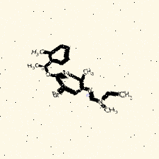 CCN(C)/C=N/c1cc(Br)c(O[C@@H](C)c2ccccc2C)nc1C